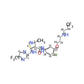 Cc1nsc(Nc2cnc(C(F)(F)F)cn2)c1C(=O)Nc1ccc(F)c(OCCCNCCC(F)(F)F)c1